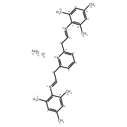 Cc1cc(C)c(N=CCc2cccc(CC=Nc3c(C)cc(C)cc3C)n2)c(C)c1.[Cl-].[Cl-].[Fe+2]